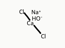 [Cl][Ca][Cl].[Na+].[OH-]